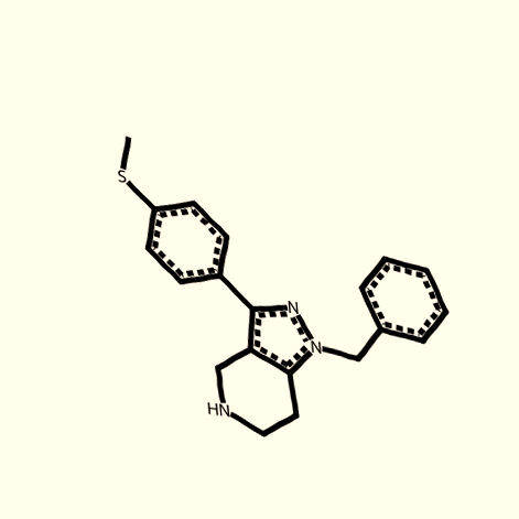 CSc1ccc(-c2nn(Cc3ccccc3)c3c2CNCC3)cc1